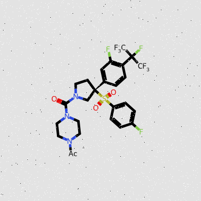 CC(=O)N1CCN(C(=O)N2CC[C@](c3ccc(C(F)(C(F)(F)F)C(F)(F)F)c(F)c3)(S(=O)(=O)c3ccc(F)cc3)C2)CC1